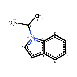 CC(n1ccc2ccccc21)[N+](=O)[O-]